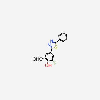 O=Cc1cc(-c2nnc(-c3ccccc3)s2)cc(F)c1O